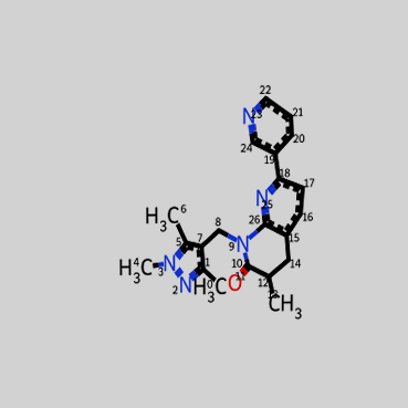 Cc1nn(C)c(C)c1CN1C(=O)C(C)Cc2ccc(-c3cccnc3)nc21